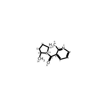 Cc1ncccc1C(=O)N1CCCC1C